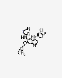 CCOCCOc1cc2ncnc(Nc3ccc(F)c(Cl)c3)c2cc1NC(=O)/C=C\C#N